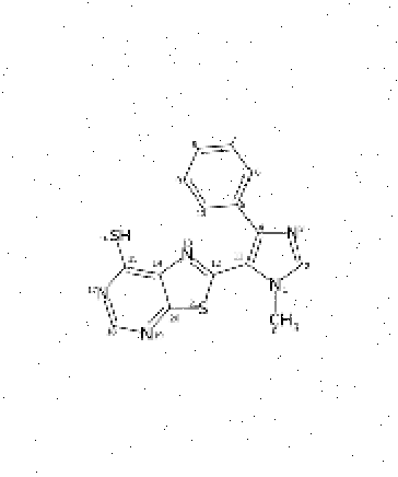 Cn1cnc(-c2ccccc2)c1-c1nc2c(S)ncnc2s1